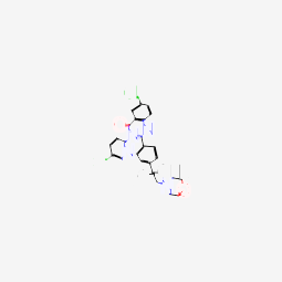 CC(C)(CN1CCOCC1)c1ccc(-c2nc3ccc(Cl)cc3c(=O)n2-c2ccc(Cl)cn2)cc1